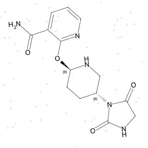 NC(=O)c1cccnc1O[C@@H]1CC[C@@H](N2C(=O)CNC2=O)CN1